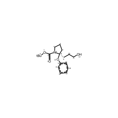 CC(C)(C)OC(=O)N1CCC[C@@]1(CCCO)Oc1ccccc1